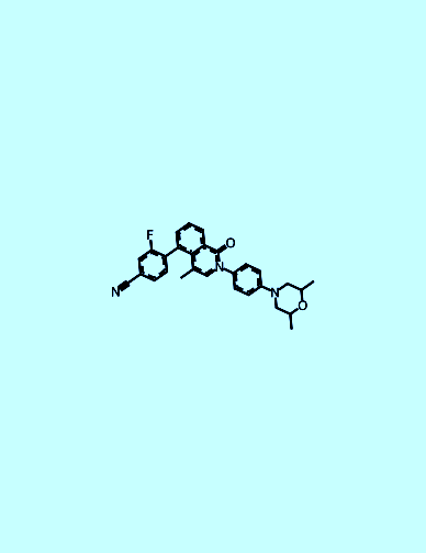 Cc1cn(-c2ccc(N3CC(C)OC(C)C3)cc2)c(=O)c2cccc(-c3ccc(C#N)cc3F)c12